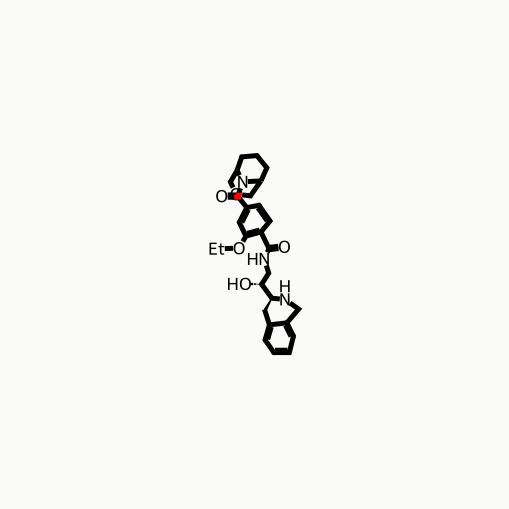 CCOc1cc(C(=O)N2C3CCCC2COC3)ccc1C(=O)NC[C@@H](O)[C@@H]1Cc2ccccc2CN1